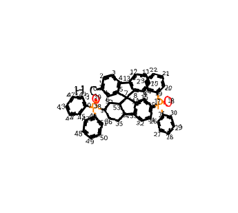 Cc1ccc2c(c1)C1(c3ccccc3-2)c2cc(P(=O)(c3ccccc3)c3ccccc3)ccc2C2CCC(P(=O)(c3ccccc3)c3ccccc3)CC21